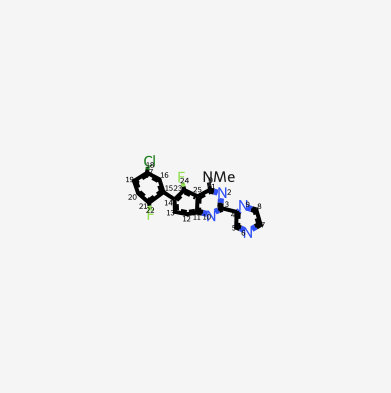 CNc1nc(-c2cnccn2)nc2ccc(-c3cc(Cl)ccc3F)c(F)c12